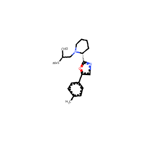 CSC(C=O)CN1CCCC[C@@H]1c1ncc(-c2ccc(C)cc2)o1